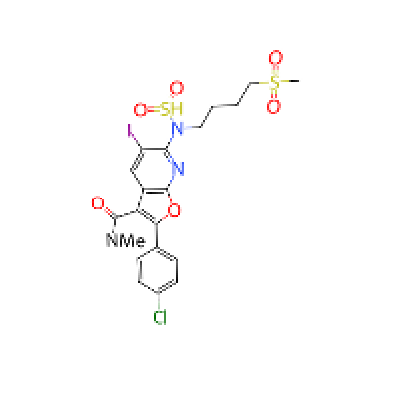 CNC(=O)c1c(-c2ccc(Cl)cc2)oc2nc(N(CCCCS(C)(=O)=O)[SH](=O)=O)c(I)cc12